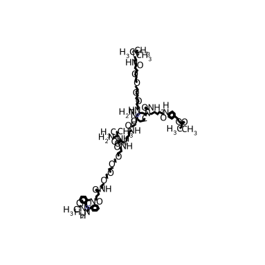 CC(C)N/C1=C(\N)c2ccccc2N(C(=O)CCC(=O)NCCOCCOCCOCCOCCC(=O)N[C@H](CCCCNC(=O)COC2CCCC(N(CCCCC(=O)Nc3ccc(COC(=O)C(C)C)cc3)C(N)=O)C/C(NCCOCCOCCOCCOCCC(=O)NCC[N+](C)(C)C)=C\2NN)C(=O)N[C@H](C(N)=O)C(C)C)Cc2ccccc21